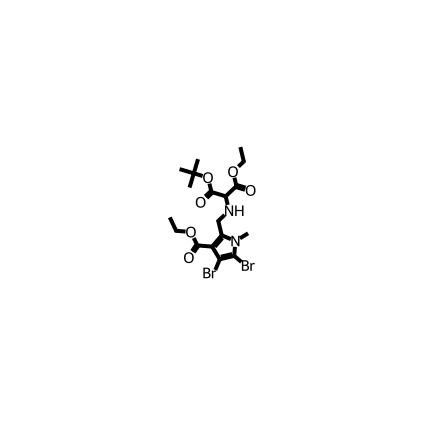 CCOC(=O)c1c(Br)c(Br)n(C)c1CNC(C(=O)OCC)C(=O)OC(C)(C)C